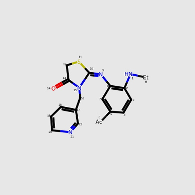 CCNc1ccc(C(C)=O)cc1/N=C1/SCC(=O)N1Cc1cccnc1